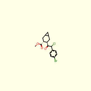 COC(=O)[C@@H]1CC2CC2C[C@H]1C(=O)C(Cl)c1ccc(Br)cc1